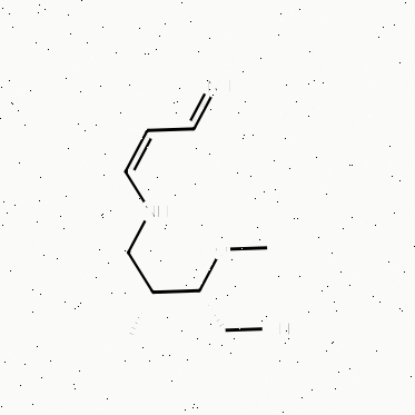 CO[C@H](CO)[C@H](C)CN/C=C\C=N